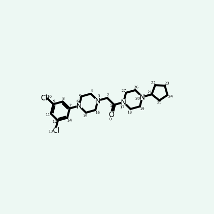 O=C(CN1CCN(c2cc(Cl)cc(Cl)c2)CC1)N1CCN(C2CCCC2)CC1